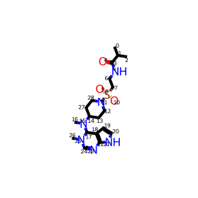 CC(C)C(=O)NCCS(=O)(=O)N1CCC(N(C)C2c3cc[nH]c3N=CN2C)CC1